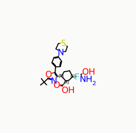 CC(C)(C)c1nc([C@@H]2CC[C@H](F)C[C@H]2C(=O)O)c(-c2ccc(N3CCSCC3)cc2)o1.NCO